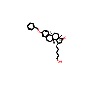 C[C@]12CC[C@@H]3c4ccc(OCc5ccccc5)cc4CC[C@H]3[C@@H]1[C@H](CCCCCO)CC2=O